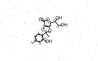 Cc1ccc(C2(C)OC3=C(O2)C(C(O)CO)OC3=O)c(O)c1